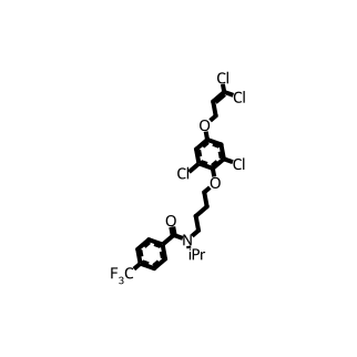 CC(C)N(CCCCOc1c(Cl)cc(OCC=C(Cl)Cl)cc1Cl)C(=O)c1ccc(C(F)(F)F)cc1